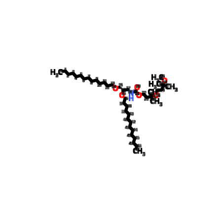 CCCCCCCCCCCCCCOC[C@H](CNC(=O)OCCC(C)(C)OCCC(C)(C)OC)OCCCCCCCCCCCCCC